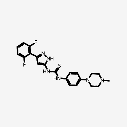 CN1CCN(c2ccc(NC(=S)Nc3cc(-c4c(F)cccc4F)n[nH]3)cc2)CC1